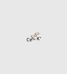 [Ce+3].[K+].[S-2].[S-2]